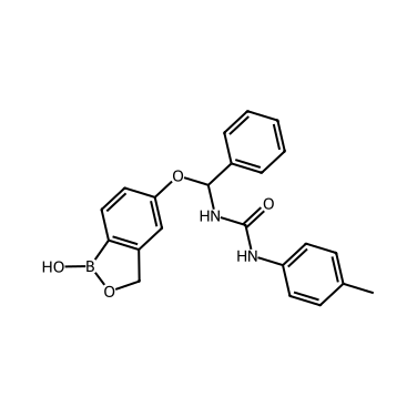 Cc1ccc(NC(=O)NC(Oc2ccc3c(c2)COB3O)c2ccccc2)cc1